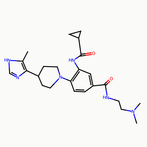 Cc1[nH]cnc1C1CCN(c2ccc(C(=O)NCCN(C)C)cc2NC(=O)C2CC2)CC1